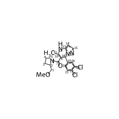 COCC1CCCN1C(=O)C1=C(C)Nc2ccnn2C1c1ccc(Cl)c(Cl)c1